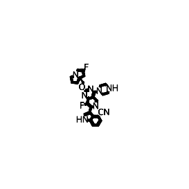 N#Cc1cccc2[nH]cc(-c3ncc4c(N5CCNCC5)nc(OC[C@@]56CCCN5C[C@H](F)C6)nc4c3F)c12